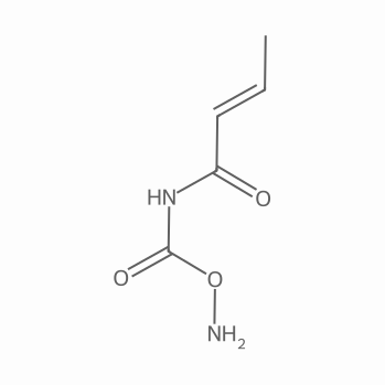 CC=CC(=O)NC(=O)ON